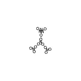 c1ccc(-c2nc(-c3ccccc3)nc(-c3ccc(-c4ccc(-n5c6ccc(-c7ccc(N(c8ccccc8)c8ccccc8)cc7)cc6c6cc(-c7ccc(N(c8ccccc8)c8ccccc8)cc7)ccc65)cc4)cc3)n2)cc1